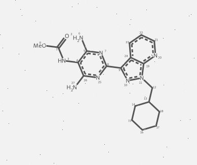 COC(=O)Nc1c(N)nc(-c2nn(CC3CCCCC3)c3ncccc23)nc1N